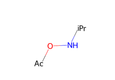 [CH2]C(C)NOC(C)=O